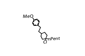 CCCCCC1(Cl)CCC(CCc2ccc(OC)cc2)CC1